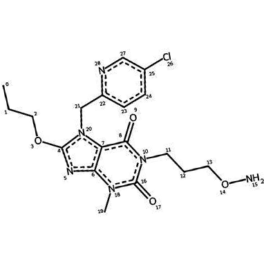 CCCOc1nc2c(c(=O)n(CCCON)c(=O)n2C)n1Cc1ccc(Cl)cn1